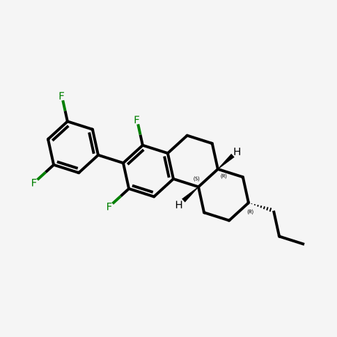 CCC[C@@H]1CC[C@@H]2c3cc(F)c(-c4cc(F)cc(F)c4)c(F)c3CC[C@@H]2C1